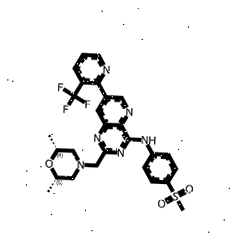 C[C@@H]1CN(Cc2nc(Nc3ccc(S(C)(=O)=O)cc3)c3ncc(-c4ncccc4C(F)(F)F)cc3n2)C[C@H](C)O1